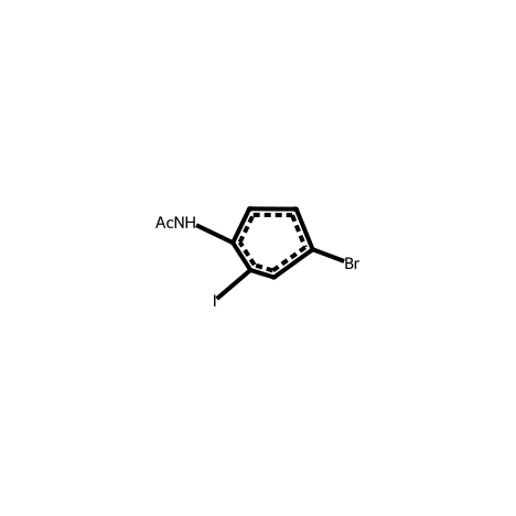 CC(=O)Nc1ccc(Br)cc1I